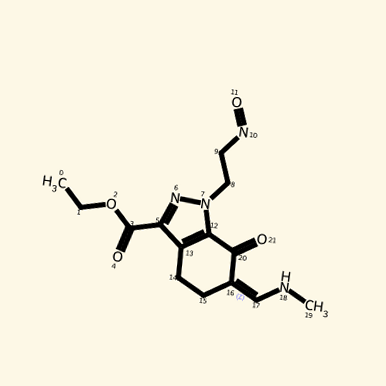 CCOC(=O)c1nn(CCN=O)c2c1CC/C(=C/NC)C2=O